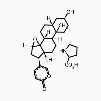 C[C@]12CC[C@H](O)C[C@H]1CC[C@@H]1[C@@H]2CC[C@]2(C)[C@@H](c3ccc(=O)oc3)C[C@H]3O[C@]132.O=C(O)C1CCCN1